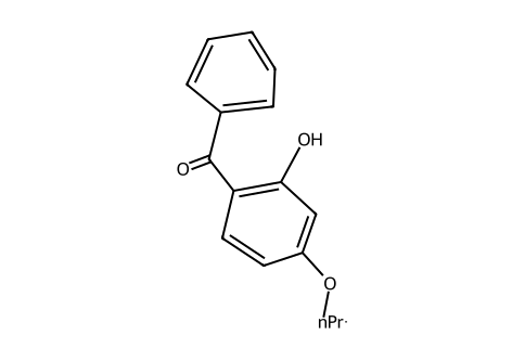 CC[CH]Oc1ccc(C(=O)c2ccccc2)c(O)c1